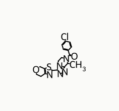 CC1c2nnc(-c3nc4c(s3)COCC4)n2CCN1C(=O)c1ccc(Cl)cc1